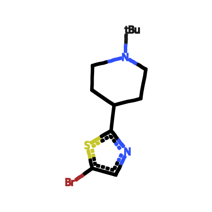 CC(C)(C)N1CCC(c2ncc(Br)s2)CC1